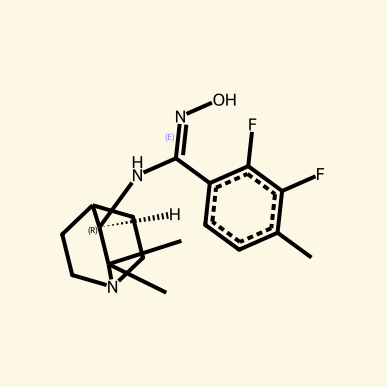 Cc1ccc(/C(=N\O)N[C@@H]2C3CCN(CC3)C2(C)C)c(F)c1F